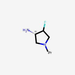 CC(C)N1CC(F)[C@@H](N)C1